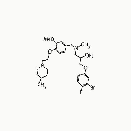 COc1cc(CN(C)CC(O)COc2ccc(F)c(Br)c2)ccc1OCCN1CCC(C)CC1